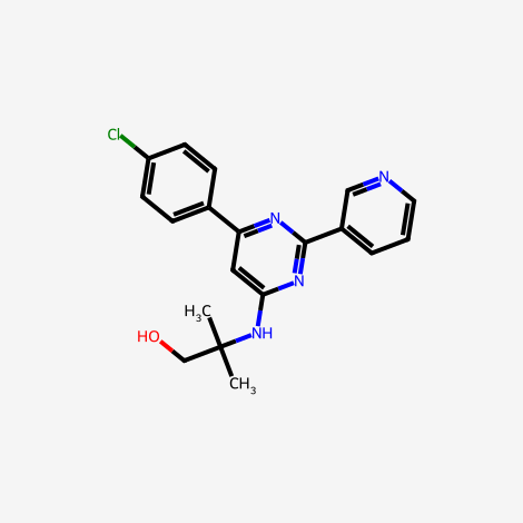 CC(C)(CO)Nc1cc(-c2ccc(Cl)cc2)nc(-c2cccnc2)n1